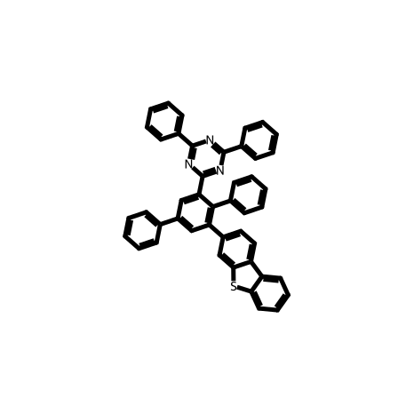 c1ccc(-c2cc(-c3ccc4c(c3)sc3ccccc34)c(-c3ccccc3)c(-c3nc(-c4ccccc4)nc(-c4ccccc4)n3)c2)cc1